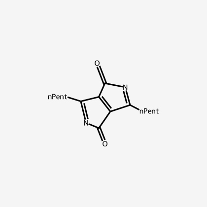 CCCCCc1nc(=O)c2c(CCCCC)nc(=O)c1=2